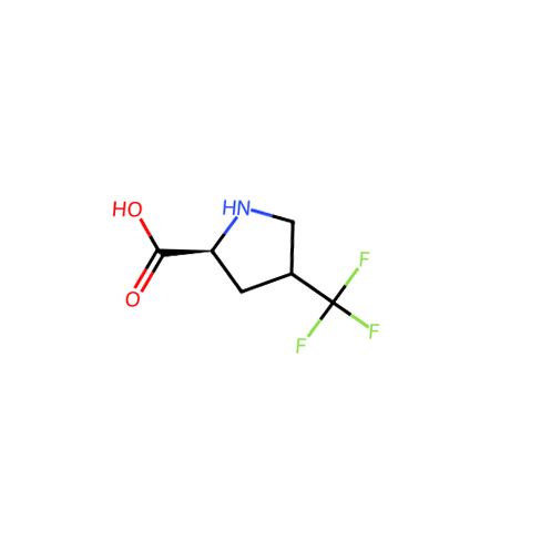 O=C(O)[C@@H]1CC(C(F)(F)F)CN1